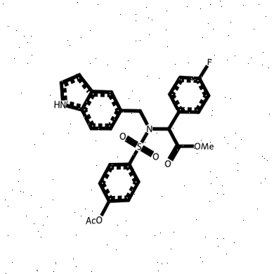 COC(=O)C(c1ccc(F)cc1)N(Cc1ccc2[nH]ccc2c1)S(=O)(=O)c1ccc(OC(C)=O)cc1